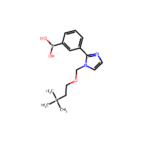 C[Si](C)(C)CCOCn1ccnc1-c1cccc(B(O)O)c1